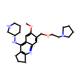 COc1cc2c(N[C@@H]3CCCNC3)c3c(nc2cc1COCCN1CCCC1)CCC3